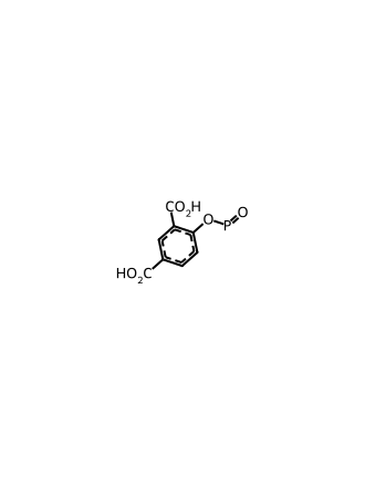 O=POc1ccc(C(=O)O)cc1C(=O)O